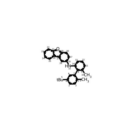 Cc1ccc(C(C)(C)C)cc1-c1c(C)cccc1Nc1ccc2oc3ccccc3c2c1